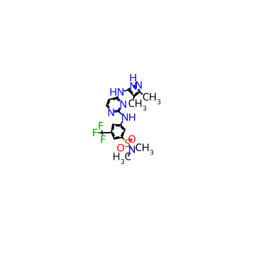 Cc1n[nH]c(Nc2ccnc(Nc3cc(C(F)(F)F)cc(S(=O)(=O)N(C)C)c3)n2)c1C